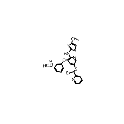 CCC(Sc1cnc(Nc2nc(C)cs2)c(Oc2ccccc2)c1)c1ccccn1.Cl.Cl